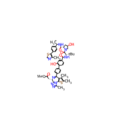 COC(=O)C[C@@H]1N=C(c2ccc(-c3ccc(C(=O)N[C@H](C(=O)N4C[C@H](O)C[C@H]4C(=O)N[C@@H](C)c4ccc(-c5scnc5C)cc4)C(C)(C)C)cc3O)cc2)c2c(sc(C)c2C)-n2c(C)nnc21